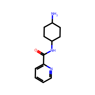 NC1CCC(NC(=O)c2ccccn2)CC1